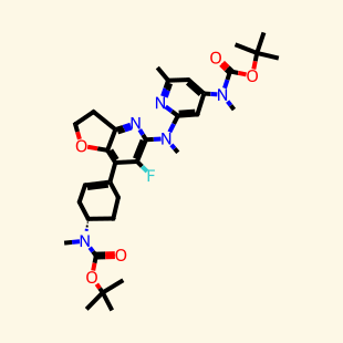 Cc1cc(N(C)C(=O)OC(C)(C)C)cc(N(C)c2nc3c(c(C4=CC[C@@H](N(C)C(=O)OC(C)(C)C)CC4)c2F)OCC3)n1